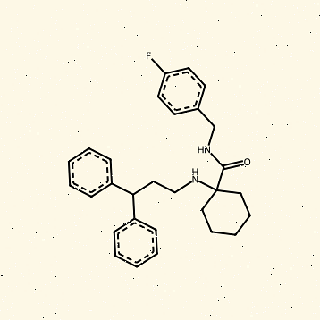 O=C(NCc1ccc(F)cc1)C1(NCCC(c2ccccc2)c2ccccc2)CCCCC1